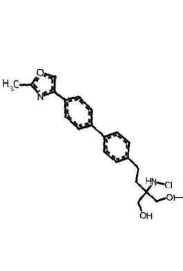 Cc1nc(-c2ccc(-c3ccc(CCC(CO)(CO)NCl)cc3)cc2)co1